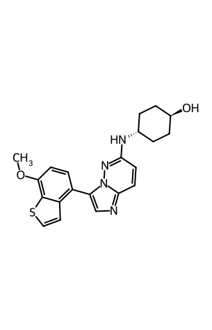 COc1ccc(-c2cnc3ccc(N[C@H]4CC[C@H](O)CC4)nn23)c2ccsc12